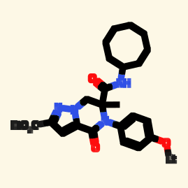 CCOC(=O)c1cc2n(n1)CC(C)(C(=O)NC1CCCCCCC1)N(c1ccc(OCC)cc1)C2=O